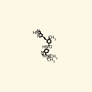 CCN(CC)c1ncnc2cc(NC(=O)c3ccc(C)c(C#Cc4cnc5[nH]ncc5c4)c3)ccc12